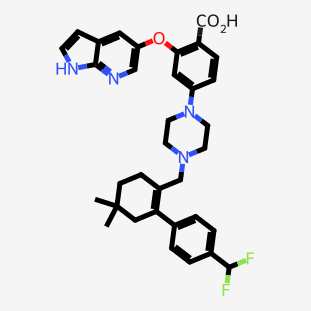 CC1(C)CCC(CN2CCN(c3ccc(C(=O)O)c(Oc4cnc5[nH]ccc5c4)c3)CC2)=C(c2ccc(C(F)F)cc2)C1